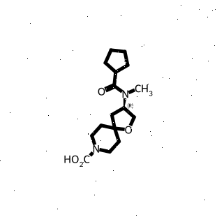 CN(C(=O)C1CCCC1)[C@H]1COC2(CCN(C(=O)O)CC2)C1